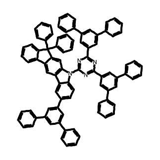 c1ccc(-c2cc(-c3ccccc3)cc(-c3ccc4c(c3)c3cc5c(cc3n4-c3nc(-c4cc(-c6ccccc6)cc(-c6ccccc6)c4)nc(-c4cc(-c6ccccc6)cc(-c6ccccc6)c4)n3)C(c3ccccc3)(c3ccccc3)c3ccccc3-5)c2)cc1